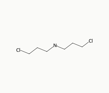 ClCCC[N]CCCCl